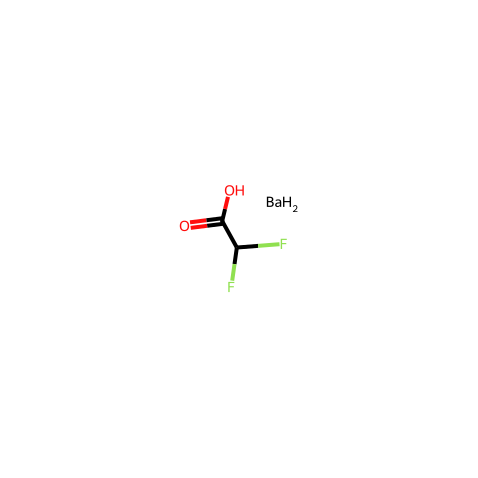 O=C(O)C(F)F.[BaH2]